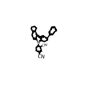 N#Cc1ccc(-n2c3ccc(-c4ccccc4)cc3c3c4ccccc4ccc32)c(C#N)c1